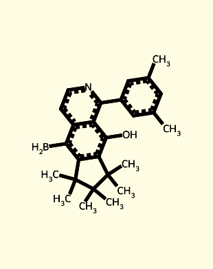 Bc1c2c(c(O)c3c(-c4cc(C)cc(C)c4)nccc13)C(C)(C)C(C)(C)C2(C)C